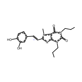 CCCn1c(=O)c2c(nc(/C=C/c3ccc(O)c(O)c3)n2C)n(CCC)c1=O